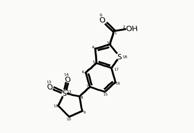 O=C(O)c1cc2cc(C3CCCS3(=O)=O)ccc2s1